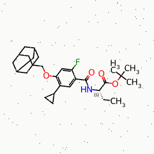 CC[C@H](NC(=O)c1cc(C2CC2)c(OCC23CC4CC(CC(C4)C2)C3)cc1F)C(=O)OC(C)(C)C